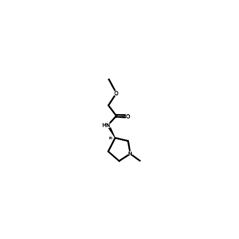 COCC(=O)N[C@@H]1CCN(C)C1